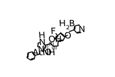 Bc1cnccc1COc1cc(F)cc(C[C@H](NC(C)=O)[C@H](O)[C@@H]2NCCN(Cc3ccccc3)C2=O)c1